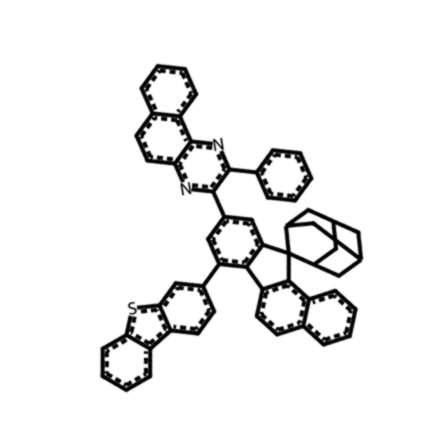 c1ccc(-c2nc3c(ccc4ccccc43)nc2-c2cc(-c3ccc4c(c3)sc3ccccc34)c3c(c2)C2(c4c-3ccc3ccccc43)C3CC4CC(C3)CC2C4)cc1